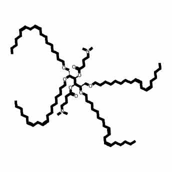 CCCCC/C=C\C/C=C\CCCCCCCCOC[C@@H](OCCCCCCCC/C=C\C/C=C\CCCCC)[C@@H](OC(=O)CCCN(C)C)[C@H](OC(=O)CCCN(C)C)[C@@H](COCCCCCCCC/C=C\C/C=C\CCCCC)OCCCCCCCC/C=C\C/C=C\CCCCC